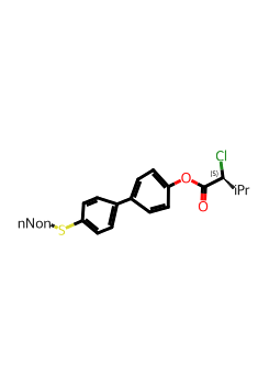 CCCCCCCCCSc1ccc(-c2ccc(OC(=O)[C@@H](Cl)C(C)C)cc2)cc1